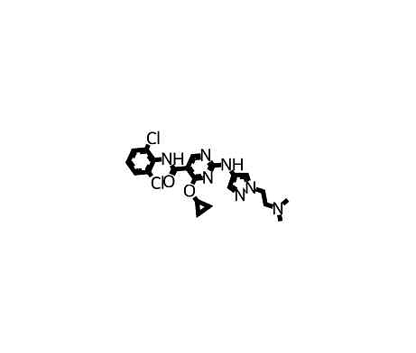 CN(C)CCn1cc(Nc2ncc(C(=O)Nc3c(Cl)cccc3Cl)c(OC3CC3)n2)cn1